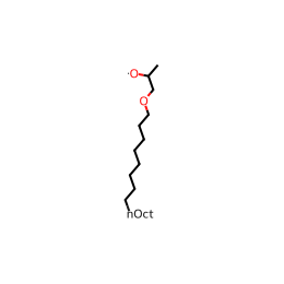 CCCCCCCCCCCCCCCCOCC(C)[O]